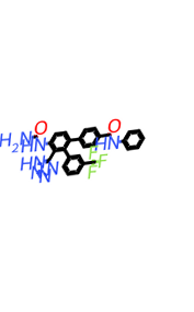 NC(=O)Nc1ccc(-c2ccc(C(=O)Nc3ccccc3)cc2)c(-c2cccc(C(F)(F)F)c2)c1-c1nnn[nH]1